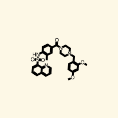 COc1ccc(CN2CCN(C(=O)c3ccc(NS(=O)(=O)c4cccc5cccnc45)c(C)c3)CC2)c(OC)c1